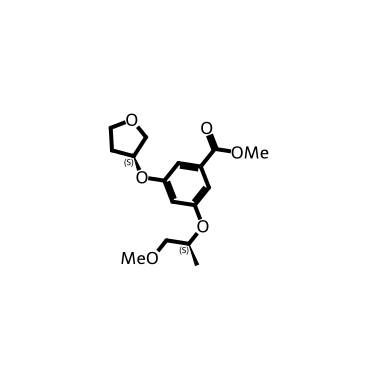 COC[C@H](C)Oc1cc(O[C@H]2CCOC2)cc(C(=O)OC)c1